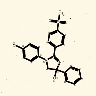 CS(=O)(=O)c1ccc(C2=NC(O)(c3ccccc3)CN2c2ccc(Cl)cc2)cc1